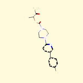 CNC(=O)C(C)OC(=O)N1CCN(c2ccc(-c3ccc(C(F)(F)F)cc3)cn2)CC1